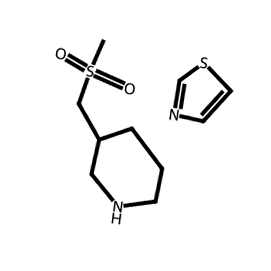 CS(=O)(=O)CC1CCCNC1.c1cscn1